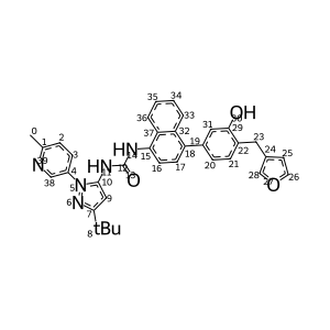 Cc1ccc(-n2nc(C(C)(C)C)cc2NC(=O)Nc2ccc(-c3ccc(Cc4ccoc4)c(O)c3)c3ccccc23)cn1